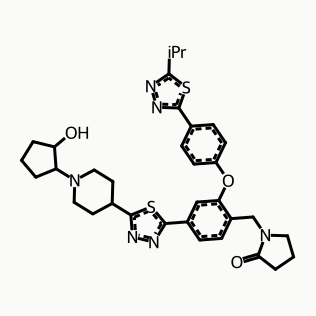 CC(C)c1nnc(-c2ccc(Oc3cc(-c4nnc(C5CCN(C6CCCC6O)CC5)s4)ccc3CN3CCCC3=O)cc2)s1